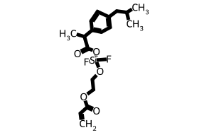 C=CC(=O)OCCO[Si](F)(F)OC(=O)C(C)c1ccc(CC(C)C)cc1